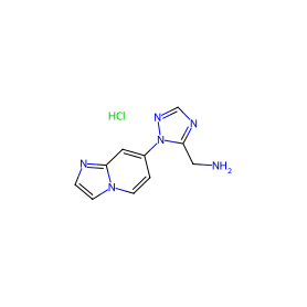 Cl.NCc1ncnn1-c1ccn2ccnc2c1